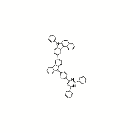 c1ccc(-c2nc(-c3ccccc3)nc(-c3ccc(-n4c5ccccc5c5cc(-c6ccc7c(c6)c6c8ccccc8ccc6n7-c6ccccc6)ccc54)cc3)n2)cc1